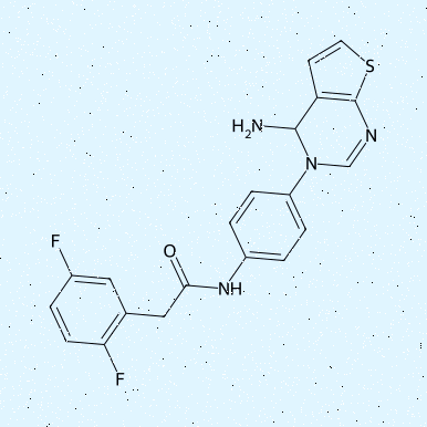 NC1c2ccsc2N=CN1c1ccc(NC(=O)Cc2cc(F)ccc2F)cc1